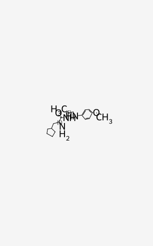 COc1ccc(NC[C@H](C)NC(=O)[C@@H](N)CC2CCCC2)cc1